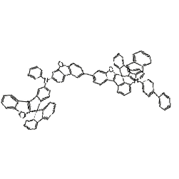 c1ccc(-c2ccc(N(c3ccc4ccccc4c3)c3cccc4c3C3(c5ccccc5-c5ccccc53)c3oc5cc(-c6ccc7oc8cc(N(c9ccccc9)c9ccc%10c(c9)-c9c(oc%11ccccc9%11)C%109c%10ccccc%10-c%10ccccc%109)ccc8c7c6)ccc5c3-4)cc2)cc1